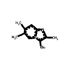 Cc1cc2nc(C)c(C(C)(C)C)n2cc1C